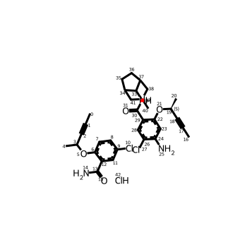 CC#CC(C)Oc1ccc(Cl)cc1C(N)=O.CC#C[C@H](C)Oc1cc(N)c(Cl)cc1C(=O)NC1C2CCC1CN(C)C2.Cl